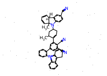 CC1CC(N2c3ccc(C#N)cc3[C@H]3C=CC=CC32C)CC=C1c1cc(-c2ccccc2-n2c3c(c4ccccc42)CCC=C3)cc(C#N)c1C#N